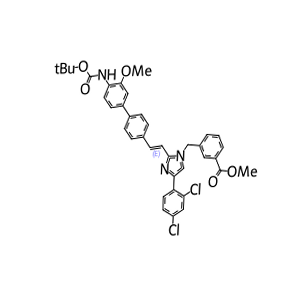 COC(=O)c1cccc(Cn2cc(-c3ccc(Cl)cc3Cl)nc2/C=C/c2ccc(-c3ccc(NC(=O)OC(C)(C)C)c(OC)c3)cc2)c1